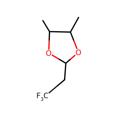 CC1OC(CC(F)(F)F)OC1C